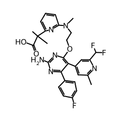 Cc1cc(-c2c(OCCN(C)c3cccc(C(C)(C)C(=O)O)n3)nc(N)nc2-c2ccc(F)cc2)cc(C(F)F)n1